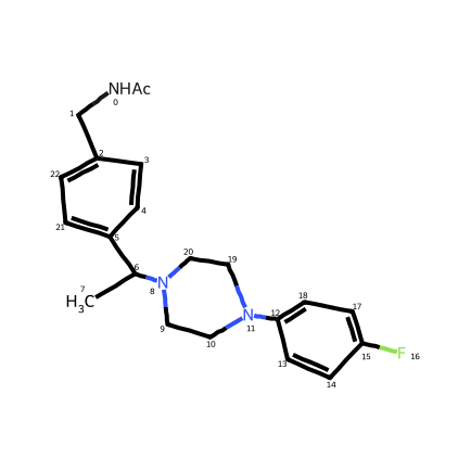 CC(=O)NCc1ccc(C(C)N2CCN(c3ccc(F)cc3)CC2)cc1